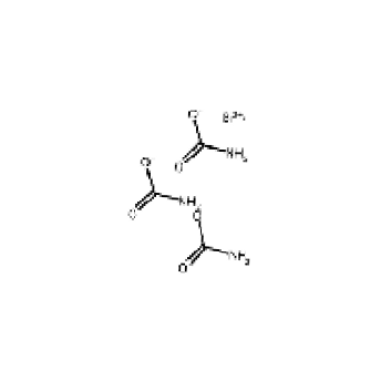 NC(=O)[O-].NC(=O)[O-].NC(=O)[O-].[Bi+3]